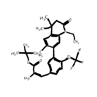 CCN1C(=O)CC(C)(C)c2cc(C)c(-c3cc(C=C(C)C(=O)OC(C)(C)C)ccc3OC(F)(F)F)cc21